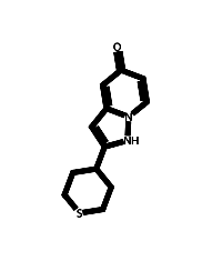 O=c1ccn2[nH]c(C3CCSCC3)cc2c1